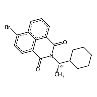 C[C@@H](C1CCCCC1)N1C(=O)c2cccc3c(Br)ccc(c23)C1=O